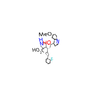 COc1ccc2nccc([C@H](O)C[C@H](C3CC(c4ccccc4F)C3)C3CCNCC3C(=O)O)c2c1